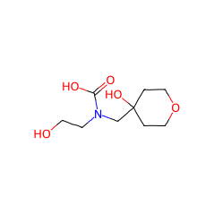 O=C(O)N(CCO)CC1(O)CCOCC1